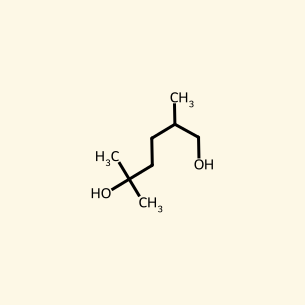 CC(CO)CCC(C)(C)O